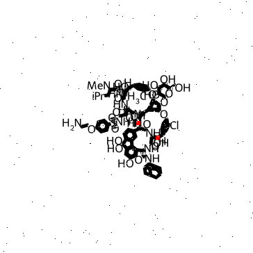 CN[C@H](CC(C)C)C(=O)N[C@H]1C(=O)N[C@@H](CC(=O)NS(=O)(=O)c2ccc(OCCN)cc2)C(=O)N[C@H]2C(=O)N[C@H]3C(=O)N[C@H](C(=O)N[C@H](C(=O)NC4C5CC6CC(C5)CC4C6)c4cc(O)cc5c4-c4cc3ccc4C5(O)O)[C@H](O)c3ccc(c(Cl)c3)Oc3cc2cc(c3O[C@@H]2O[C@H](CO)[C@@H](O)[C@H](O)[C@H]2O)Oc2ccc(cc2C)[C@H]1O